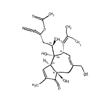 CC(=O)OC(C[C@@H](C)[C@@]1(O)[C@H](C=C(C)C)C=C(CO)C[C@]2(O)C(=O)C(C)=C[C@@H]12)=[N+]=[N-]